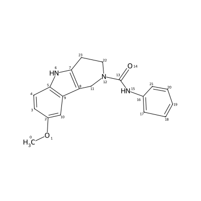 COc1ccc2[nH]c3c(c2c1)CN(C(=O)Nc1ccccc1)CC3